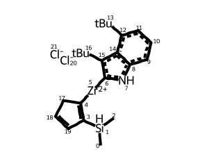 C[SiH](C)C1=[C]([Zr+2][c]2[nH]c3cccc(C(C)(C)C)c3c2C(C)(C)C)CC=C1.[Cl-].[Cl-]